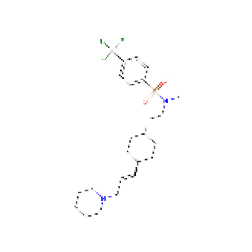 CN(CC[C@H]1CC[C@H](C=CCN2CCCCC2)CC1)S(=O)(=O)c1ccc(C(F)(F)F)cc1